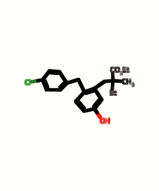 CCOC(=O)C(C)(CC)Cc1cc(O)ccc1Cc1ccc(Cl)cc1